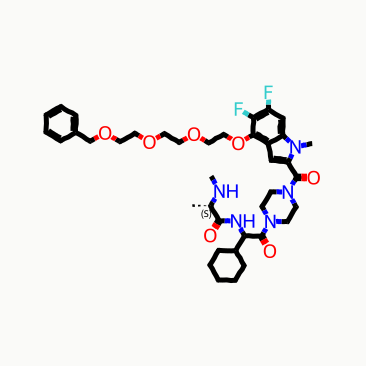 CN[C@@H](C)C(=O)NC(C(=O)N1CCN(C(=O)c2cc3c(OCCOCCOCCOCc4ccccc4)c(F)c(F)cc3n2C)CC1)C1CCCCC1